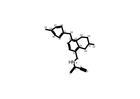 C#CC(=C)NCc1ccc(Cc2ccc(C)cc2)c2c1CC(C)CC2